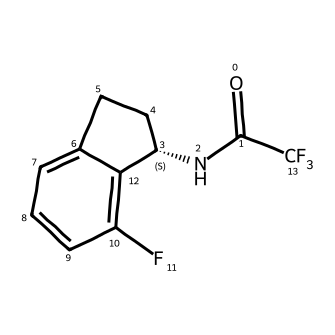 O=C(N[C@H]1CCc2cccc(F)c21)C(F)(F)F